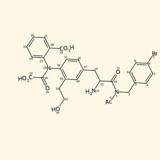 CC(=O)N(Cc1ccc(Br)cc1)C(=O)C(N)Cc1ccc(N(C(=O)C(=O)O)c2ccccc2C(=O)O)c(CCO)c1